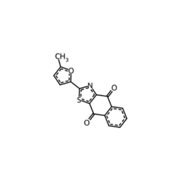 Cc1ccc(-c2nc3c(s2)C(=O)c2ccccc2C3=O)o1